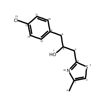 Cc1csc(CC(O)Cc2ccc(Cl)cc2)n1